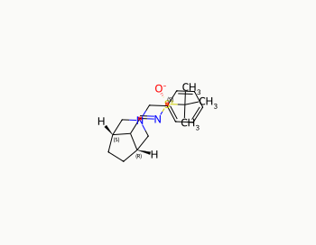 CC(C)(C)[S@@+]([O-])N=CC1[C@@H]2CC[C@H]1CN(Cc1ccccc1)C2